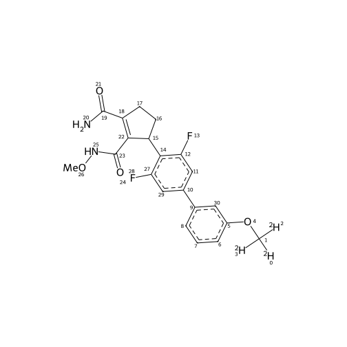 [2H]C([2H])([2H])Oc1cccc(-c2cc(F)c(C3CCC(C(N)=O)=C3C(=O)NOC)c(F)c2)c1